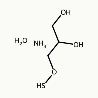 N.O.OCC(O)COS